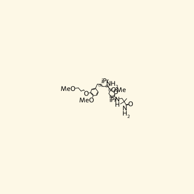 COCCCOc1cc(C[C@@H](C[C@H](N)[C@H](C[C@H](C(=O)NCC(C)(C)C(N)=O)C(C)C)OC)C(C)C)ccc1OC